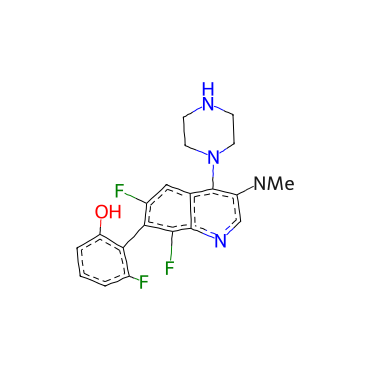 CNc1cnc2c(F)c(-c3c(O)cccc3F)c(F)cc2c1N1CCNCC1